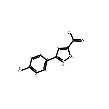 O=C(Cl)c1cc(-c2ccc(Cl)cc2)no1